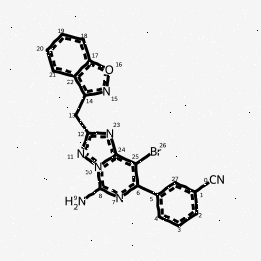 N#Cc1cccc(-c2nc(N)n3nc(Cc4noc5ccccc45)nc3c2Br)c1